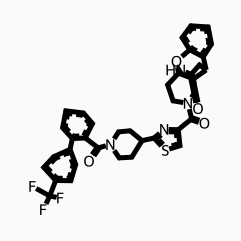 O=C1CC2c3ccccc3OC3(CCN(C(=O)c4csc(C5CCN(C(=O)c6ccccc6-c6ccc(C(F)(F)F)cc6)CC5)n4)CC23)N1